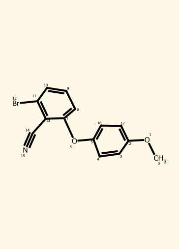 COc1ccc(Oc2cccc(Br)c2C#N)cc1